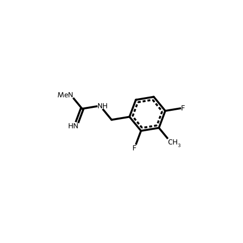 CNC(=N)NCc1ccc(F)c(C)c1F